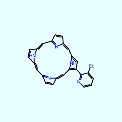 CCc1cccnc1-c1cc2cc3nc(cc4ccc(cc5nc(cc1[nH]2)C=C5)[nH]4)C=C3